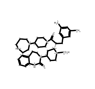 Cc1cc(C)cc(CC(C(=O)N2CCC(N3CCCNCC3)CC2)[C@H]2CC(N3CCc4ccccc4NC3=O)CCN2C(=O)O)c1